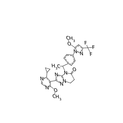 COc1ncnc(C2CC2)c1-c1nc2n(n1)CCC(=O)N2C(C)c1ccc(-n2nc(C(F)(F)F)cc2OC)cc1